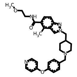 COCCNC(=O)c1ccc2nn(CC3CCN(Cc4ccc(Oc5ccncc5)cc4)CC3)cc2c1C